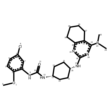 COc1ccc(Cl)cc1NC(=O)N[C@H]1CC[C@@H](Nc2nc3c(c(N(C)C)n2)CCCC3)CC1